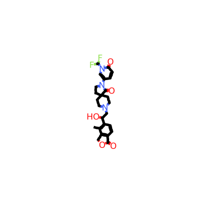 Cc1c(C(O)CN2CCC3(CC2)CCN(c2ccc(=O)n(C(F)F)c2)C3=O)ccc2c1COC2=O